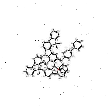 CC1(C)c2ccccc2-c2ccc3c(c21)-c1cc(N(c2ccccc2)c2ccc(-c4ccccc4)cc2)c2c4c1B3c1ccc3c(c1N4c1cccc4c1C2(C)c1ccccc1-4)C(C)(C)c1ccccc1-3